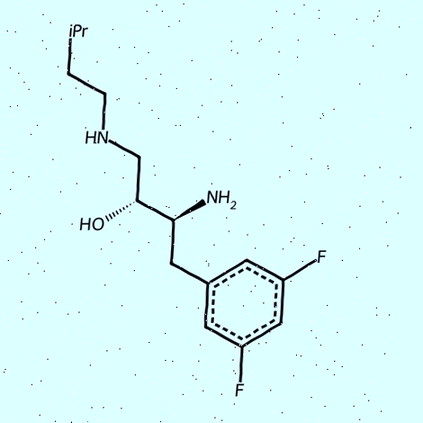 CC(C)CCNC[C@@H](O)[C@@H](N)Cc1cc(F)cc(F)c1